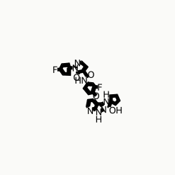 O=C(Nc1ccc(Oc2ccnc3[nH]nc(NC4(CO)CCCC4)c23)c(F)c1)c1ccnn(-c2ccc(F)cc2)c1=O